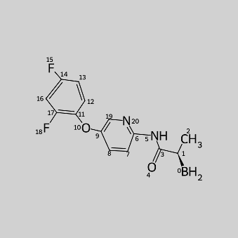 B[C@H](C)C(=O)Nc1ccc(Oc2ccc(F)cc2F)cn1